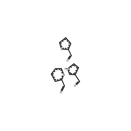 O=Cc1cc[nH]c1.O=Cc1ccccn1.O=Cc1cccs1